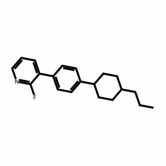 CCCC1CCC(c2ccc(-c3cccnc3F)cc2)CC1